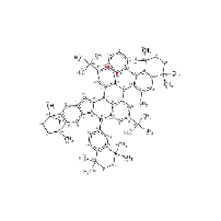 Cc1cc2c(c(-c3ccccc3)c1N1c3ccc(C(C)(C)C)cc3B3c4oc5cc6c(cc5c4N(c4ccc5c(c4)C(C)(C)CCC5(C)C)c4cc(C(C)(C)C)cc1c43)C1(C)CCC6(C)C1)C(C)(C)CCC2(C)C